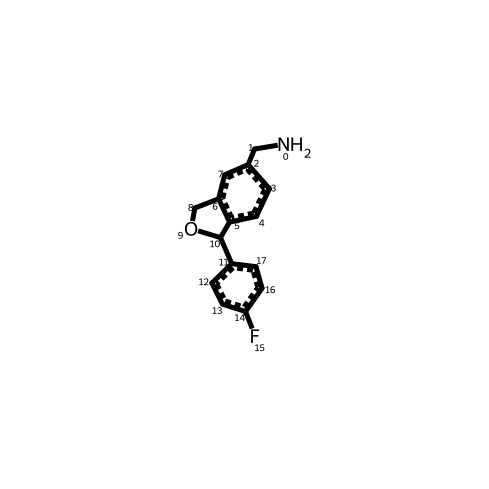 NCc1ccc2c(c1)COC2c1ccc(F)cc1